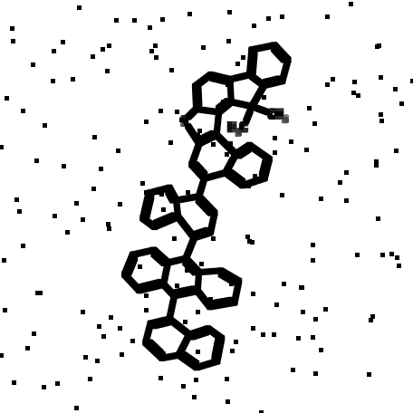 CC1(C)c2ccccc2-c2ccc3sc4cc(-c5ccc(-c6c7ccccc7c(-c7cccc8ccccc78)c7ccccc67)c6ccccc56)c5ccccc5c4c3c21